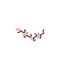 C=C/C=C\C=C(/C=C)S(=O)(=O)/C(=C/C=C(/O/C(C=C)=C/C=C(\C=C)S(=O)(=O)/C(C=C)=C/C=C(/O)C=C)C(C)C)CC